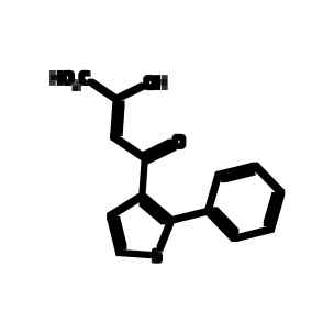 O=C(O)C(O)=CC(=O)c1ccsc1-c1ccccc1